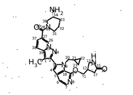 Cc1c(-c2cc3ccnc(OCC4CNC(=O)C4)c3n2CC2CC2)nn2cc(C(=O)N3CCC[C@@H](N)C3)ccc12